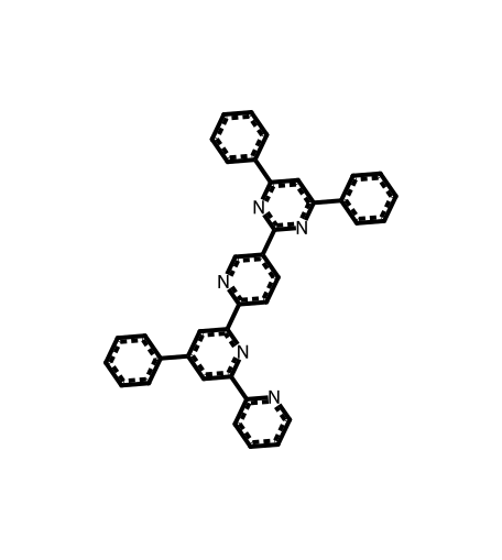 c1ccc(-c2cc(-c3ccccn3)nc(-c3ccc(-c4nc(-c5ccccc5)cc(-c5ccccc5)n4)cn3)c2)cc1